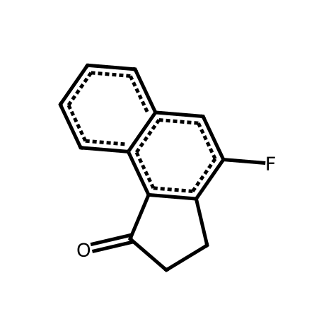 O=C1CCc2c(F)cc3ccccc3c21